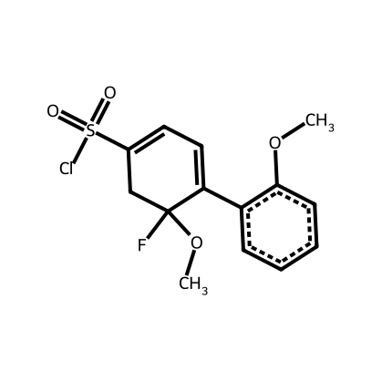 COc1ccccc1C1=CC=C(S(=O)(=O)Cl)CC1(F)OC